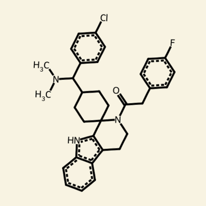 CN(C)C(c1ccc(Cl)cc1)C1CCC2(CC1)c1[nH]c3ccccc3c1CCN2C(=O)Cc1ccc(F)cc1